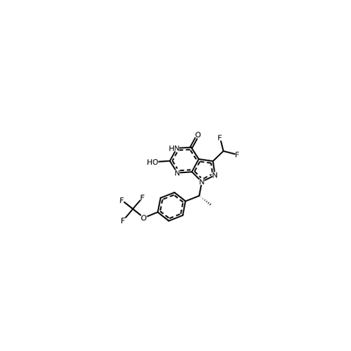 C[C@H](c1ccc(OC(F)(F)F)cc1)n1nc(C(F)F)c2c(=O)[nH]c(O)nc21